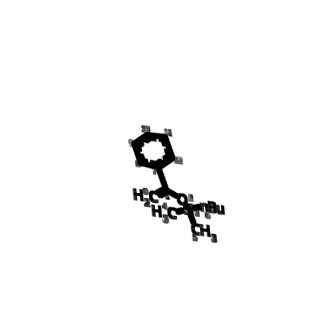 C=C(O[Si](C)(C)CCCC)c1ccccc1